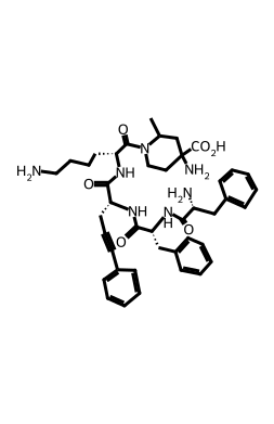 CC1CC(N)(C(=O)O)CCN1C(=O)[C@@H](CCCCN)NC(=O)[C@@H](CC#Cc1ccccc1)NC(=O)[C@@H](Cc1ccccc1)NC(=O)[C@H](N)Cc1ccccc1